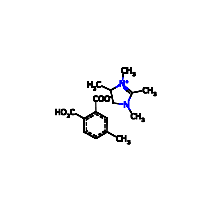 CC1=[N+](C)C(C)CN1C.Cc1ccc(C(=O)O)c(C(=O)[O-])c1